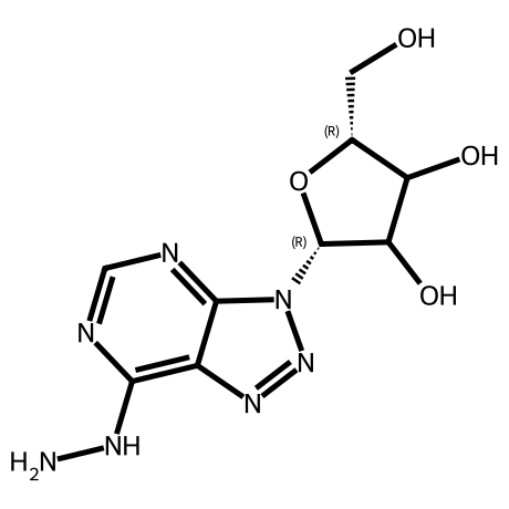 NNc1ncnc2c1nnn2[C@@H]1O[C@H](CO)C(O)C1O